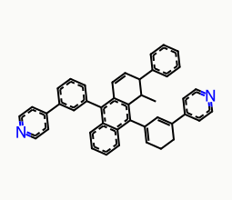 CC1c2c(c(-c3cccc(-c4ccncc4)c3)c3ccccc3c2C2=CCCC(c3ccncc3)=C2)C=CC1c1ccccc1